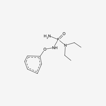 CCN(CC)P(N)(=O)NOc1ccccc1